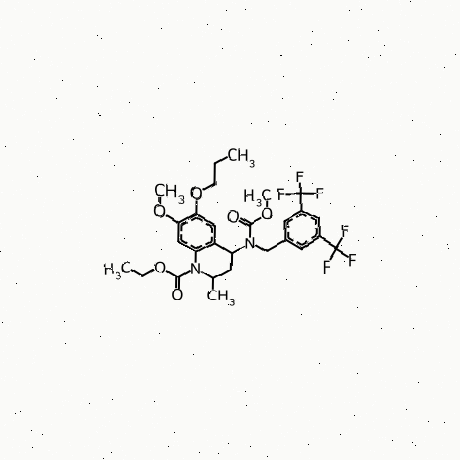 CCCOc1cc2c(cc1OC)N(C(=O)OCC)C(C)CC2N(Cc1cc(C(F)(F)F)cc(C(F)(F)F)c1)C(=O)OC